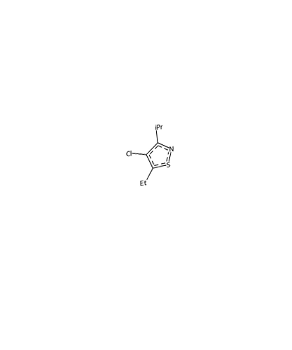 CCc1snc(C(C)C)c1Cl